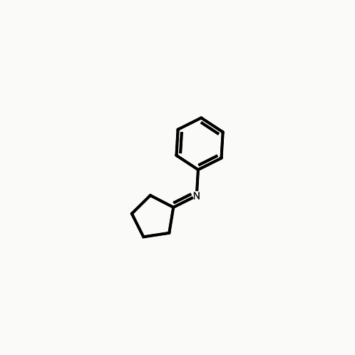 c1ccc(N=C2CCCC2)cc1